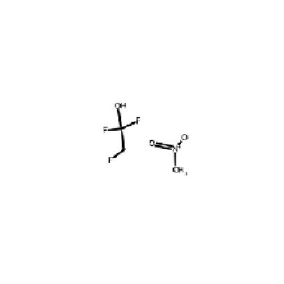 C[N+](=O)[O-].OC(F)(F)CF